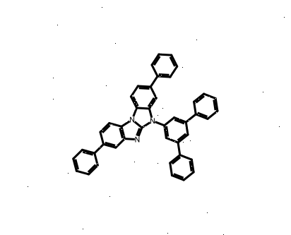 c1ccc(-c2cc(-c3ccccc3)cc(-n3c4cc(-c5ccccc5)ccc4n4c5ccc(-c6ccccc6)cc5nc34)c2)cc1